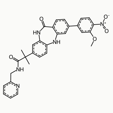 COc1cc(-c2ccc3c(c2)Nc2ccc(C(C)(C)C(=O)NCc4ccccn4)cc2NC3=O)ccc1[N+](=O)[O-]